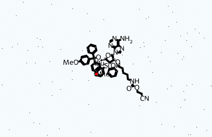 COc1ccc(C(OC[C@H]2O[C@@H](n3cnc4c(N)ncnc43)[C@H](OCCCCCNC(=O)OCCC#N)[C@@]2(O)[Si](c2ccccc2)(c2ccccc2)C(C)(C)C)(c2ccccc2)c2ccc(OC)cc2)cc1